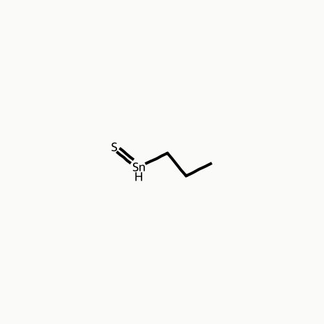 CC[CH2][SnH]=[S]